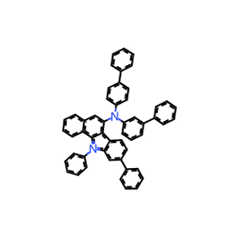 c1ccc(-c2ccc(N(c3cccc(-c4ccccc4)c3)c3cc4ccccc4c4c3c3ccc(-c5ccccc5)cc3n4-c3ccccc3)cc2)cc1